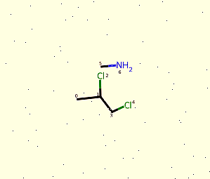 CC(Cl)CCl.CN